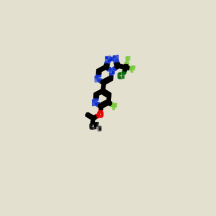 CC(Oc1ncc(-c2cn3c(C(F)(F)Cl)nnc3cn2)cc1F)C(F)(F)F